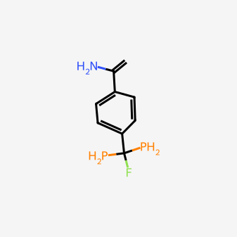 C=C(N)c1ccc(C(F)(P)P)cc1